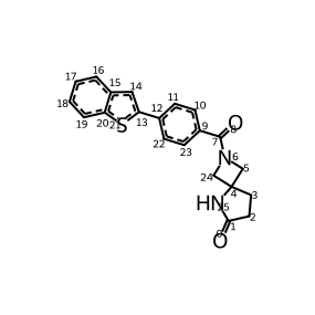 O=C1CCC2(CN(C(=O)c3ccc(-c4cc5ccccc5s4)cc3)C2)N1